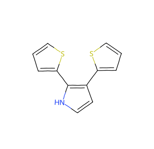 c1csc(-c2cc[nH]c2-c2cccs2)c1